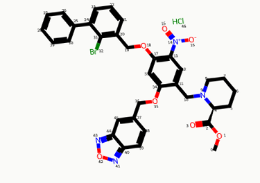 COC(=O)[C@@H]1CCCCN1Cc1cc([N+](=O)[O-])c(OCc2cccc(-c3ccccc3)c2Br)cc1OCc1ccc2nonc2c1.Cl